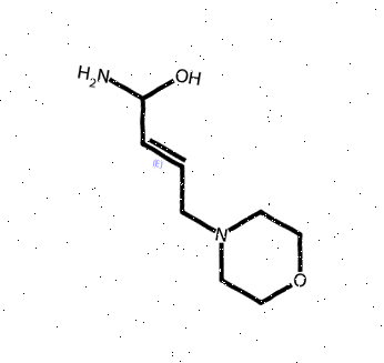 NC(O)/C=C/CN1CCOCC1